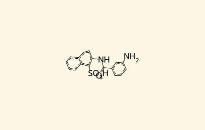 Nc1cccc(C(=O)Nc2ccc3ccccc3c2S(=O)(=O)O)c1